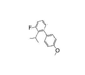 COc1ccc(-c2[c]ccc(F)c2C(C)C)cc1